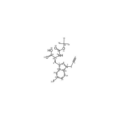 C#CCn1cc(C[C@H](NC(=O)OC(C)(C)C)C(=O)O)c2cc(F)ccc21